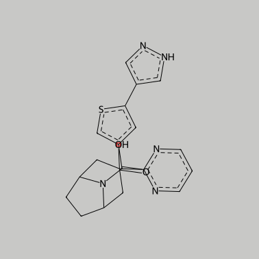 O=C(c1csc(-c2cn[nH]c2)c1)N1C2CCC1CC(O)(c1ncccn1)C2